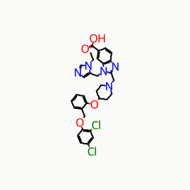 CCn1cncc1Cn1c(CN2CCC(Oc3ccccc3COc3ccc(Cl)cc3Cl)CC2)nc2ccc(C(=O)O)cc21